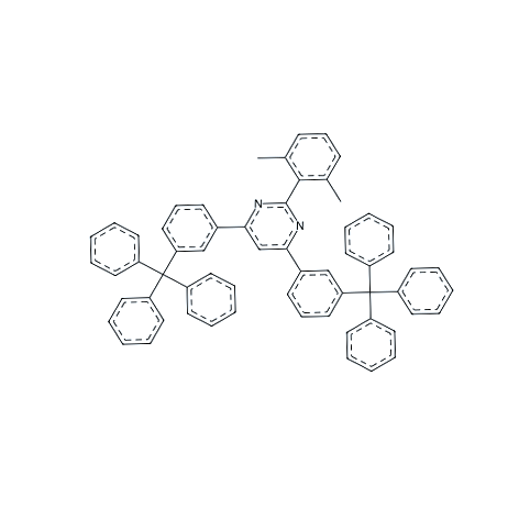 Cc1cccc(C)c1-c1nc(-c2cccc(C(c3ccccc3)(c3ccccc3)c3ccccc3)c2)cc(-c2cccc(C(c3ccccc3)(c3ccccc3)c3ccccc3)c2)n1